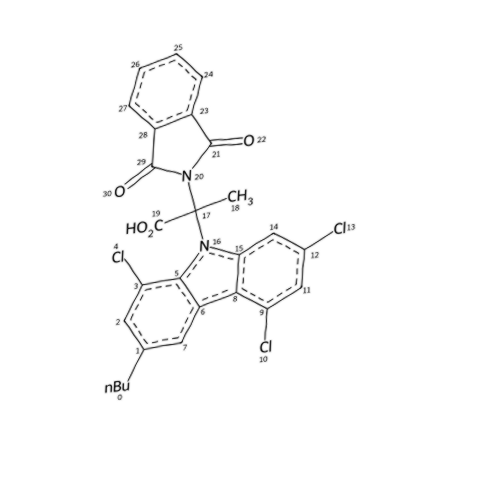 CCCCc1cc(Cl)c2c(c1)c1c(Cl)cc(Cl)cc1n2C(C)(C(=O)O)N1C(=O)c2ccccc2C1=O